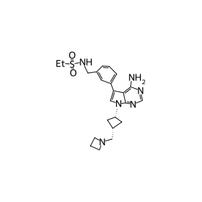 CCS(=O)(=O)NCc1cccc(-c2cn([C@H]3C[C@@H](CN4CCC4)C3)c3ncnc(N)c23)c1